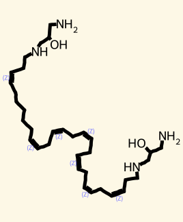 NCC(O)CNCC/C=C\C/C=C\C/C=C\C/C=C\C/C=C\C/C=C\CCCCC/C=C\CCNCC(O)CN